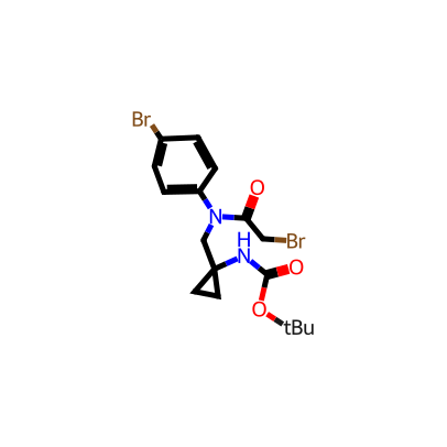 CC(C)(C)OC(=O)NC1(CN(C(=O)CBr)c2ccc(Br)cc2)CC1